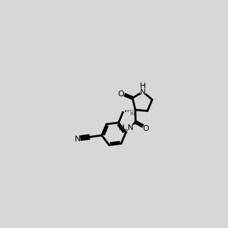 N#Cc1cccc(C[C@@]2(C(N)=O)CCNC2=O)c1